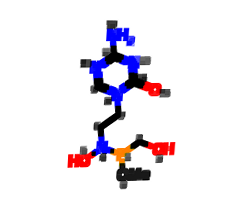 COP(CO)N(O)CCn1cnc(N)nc1=O